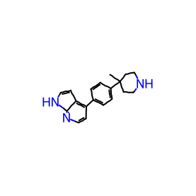 CC1(c2ccc(-c3ccnc4[nH]ccc34)cc2)CCNCC1